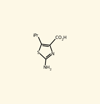 CC(C)c1sc(N)nc1C(=O)O